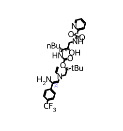 C=CN(/C=C(\N)c1ccc(C(F)(F)F)cc1)C[C@@H](OC(=O)N[C@@H](CCCC)[C@H](O)CNS(=O)(=O)c1ccccn1)C(C)(C)C